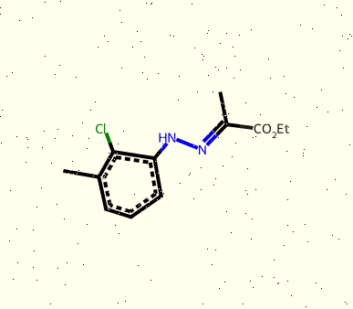 CCOC(=O)/C(C)=N/Nc1cccc(C)c1Cl